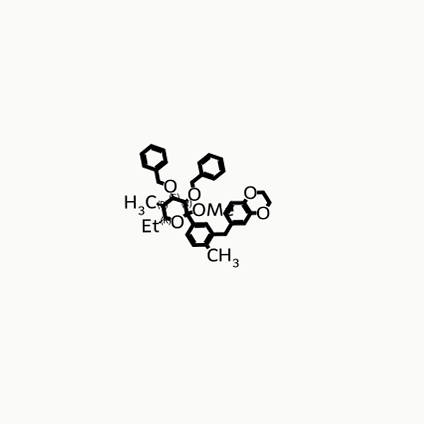 CC[C@H]1OC(OC)(c2ccc(C)c(Cc3ccc4c(c3)OCCO4)c2)[C@H](OCc2ccccc2)[C@@H](OCc2ccccc2)[C@@H]1C